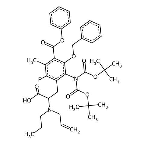 C=CCN(CCC)C(Cc1c(F)c(C)c(C(=O)Oc2ccccc2)c(OCc2ccccc2)c1N(C(=O)OC(C)(C)C)C(=O)OC(C)(C)C)C(=O)O